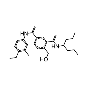 C=C(Nc1ccc(CC)c(C)c1)c1ccc(CO)c(C(=C)NC(CCC)CCC)c1